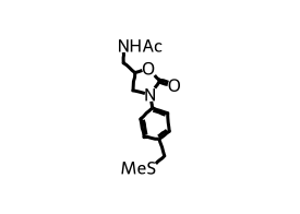 CSCc1ccc(N2CC(CNC(C)=O)OC2=O)cc1